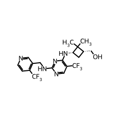 CC1(C)[C@H](CO)C[C@@H]1Nc1nc(NCc2cnccc2C(F)(F)F)ncc1C(F)(F)F